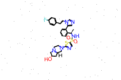 C[C@@H](NS(=O)(=O)c1cnc(N2CCN3C[C@H](O)C[C@H]3C2)s1)c1ccccc1-c1cncn1CCc1ccc(F)cc1